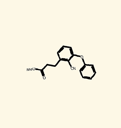 COC(=O)CCc1cccc(Oc2ccccc2)c1C#N